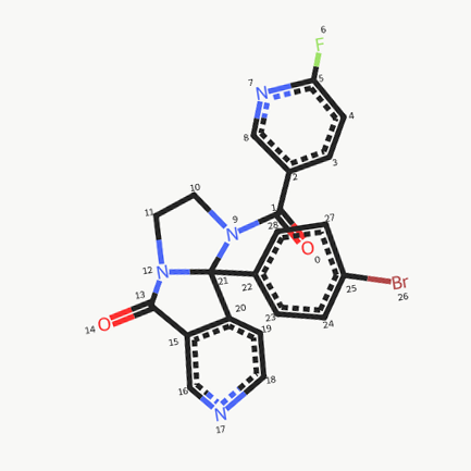 O=C(c1ccc(F)nc1)N1CCN2C(=O)c3cnccc3C12c1ccc(Br)cc1